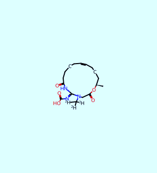 [2H]C([2H])([2H])N1CC(=O)O[C@H](C)CCCC=CCCCCC(=O)N/C1=N\C(=O)O